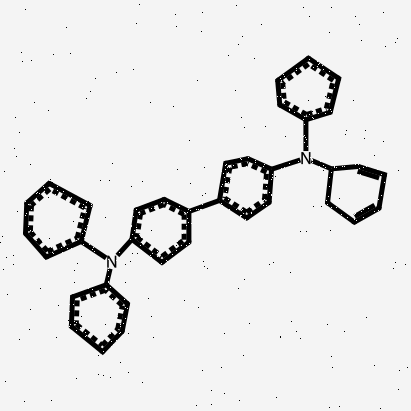 C1=CCC(N(c2ccccc2)c2ccc(-c3ccc(N(c4ccccc4)c4ccccc4)cc3)cc2)C=C1